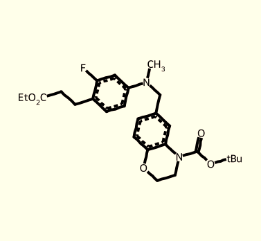 CCOC(=O)CCc1ccc(N(C)Cc2ccc3c(c2)N(C(=O)OC(C)(C)C)CCO3)cc1F